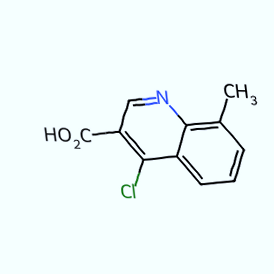 Cc1cccc2c(Cl)c(C(=O)O)cnc12